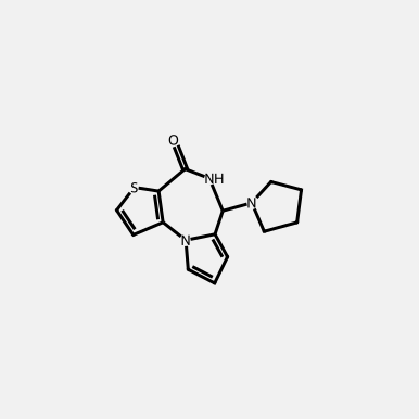 O=C1NC(N2CCCC2)c2cccn2-c2ccsc21